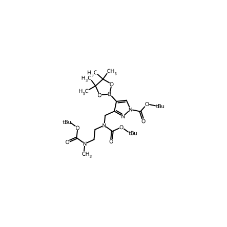 CN(CCN(Cc1nn(C(=O)OC(C)(C)C)cc1B1OC(C)(C)C(C)(C)O1)C(=O)OC(C)(C)C)C(=O)OC(C)(C)C